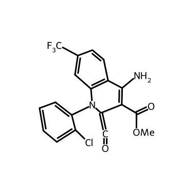 COC(=O)C1=C(N)c2ccc(C(F)(F)F)cc2N(c2ccccc2Cl)C1=C=O